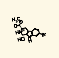 COC(=O)[C@@H]1Cc2c([nH]c3cc(Br)ccc23)CN1.Cl